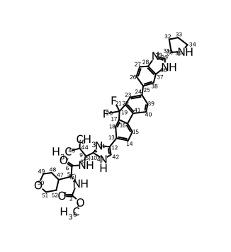 COC(=O)N[C@H](C(=O)N[C@H](c1nc(-c2ccc3c(c2)C(F)(F)c2cc(-c4ccc5nc([C@@H]6CCCN6)[nH]c5c4)ccc2-3)c[nH]1)C(C)C)C1CCOCC1